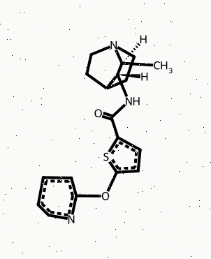 C[C@H]1[C@H](NC(=O)c2ccc(Oc3ccccn3)s2)C2CCN1CC2